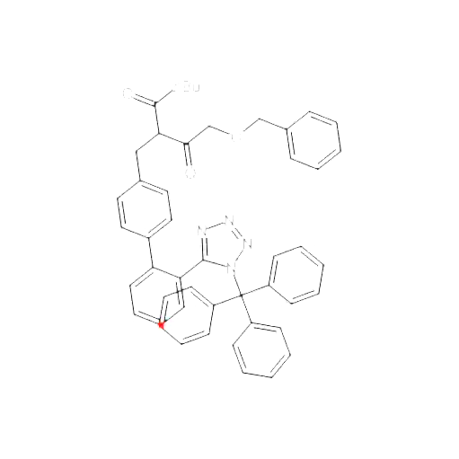 CCCCC(=O)C(Cc1ccc(-c2ccccc2-c2nnnn2C(c2ccccc2)(c2ccccc2)c2ccccc2)cc1)C(=O)COCc1ccccc1